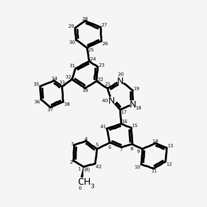 C[C@H]1C=CC=C(c2cc(-c3ccccc3)cc(-c3ncnc(-c4cc(-c5ccccc5)cc(-c5ccccc5)c4)n3)c2)C1